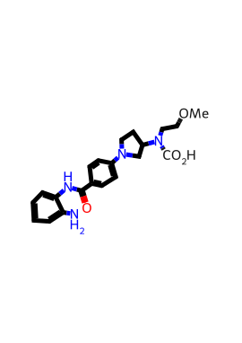 COCCN(C(=O)O)C1CCN(c2ccc(C(=O)Nc3ccccc3N)cc2)C1